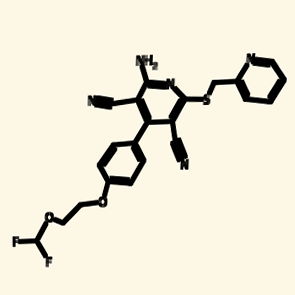 N#Cc1c(N)nc(SCc2ccccn2)c(C#N)c1-c1ccc(OCCOC(F)F)cc1